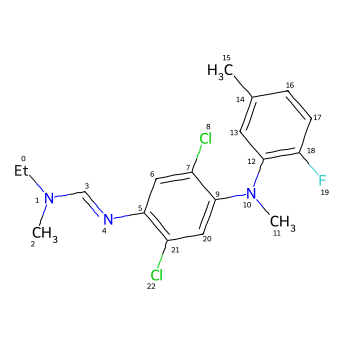 CCN(C)C=Nc1cc(Cl)c(N(C)c2cc(C)ccc2F)cc1Cl